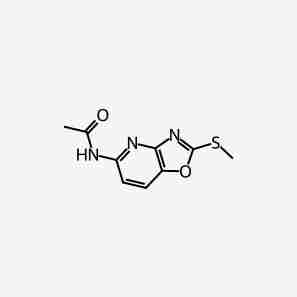 CSc1nc2nc(NC(C)=O)ccc2o1